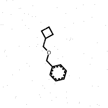 c1ccc(COCC2CCC2)cc1